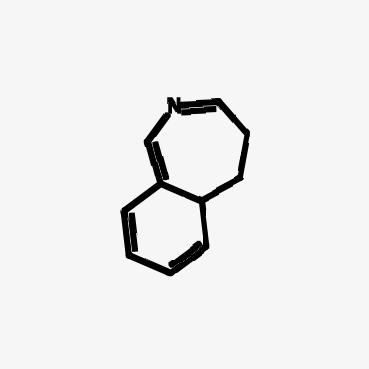 C1=CC2=CN=CCCC2C=C1